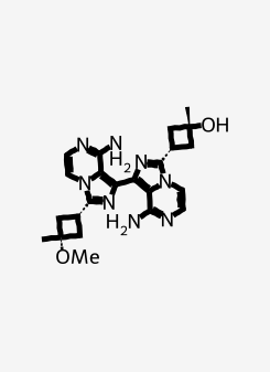 CO[C@]1(C)C[C@H](c2nc(-c3nc([C@H]4C[C@@](C)(O)C4)n4ccnc(N)c34)c3c(N)nccn32)C1